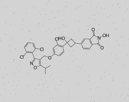 CC(C)c1onc(-c2c(Cl)cccc2Cl)c1COc1ccc(C2(O)CC(c3ccc4c(c3)C(=O)N(O)C4=O)C2)c(Cl)c1